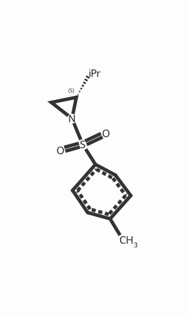 Cc1ccc(S(=O)(=O)N2C[C@@H]2C(C)C)cc1